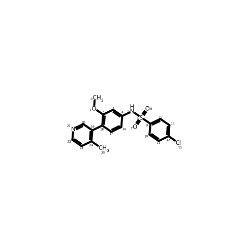 COc1cc(NS(=O)(=O)c2ccc(Cl)cc2)ccc1-c1cnccc1C